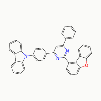 c1ccc(-c2cc(-c3ccc(-n4c5ccccc5c5ccccc54)cc3)nc(-c3cccc4oc5ccccc5c34)n2)cc1